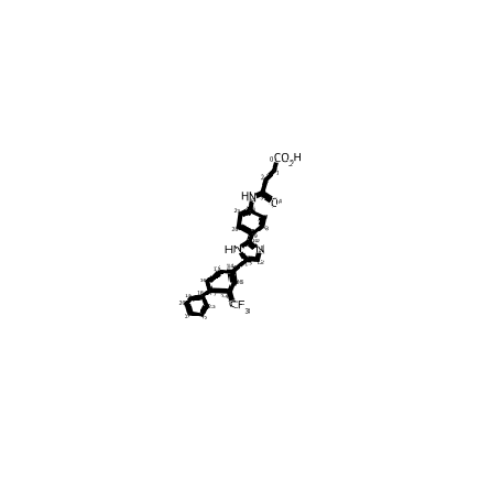 O=C(O)CCC(=O)Nc1ccc(-c2ncc(-c3ccc(-c4ccccc4)c(C(F)(F)F)c3)[nH]2)cc1